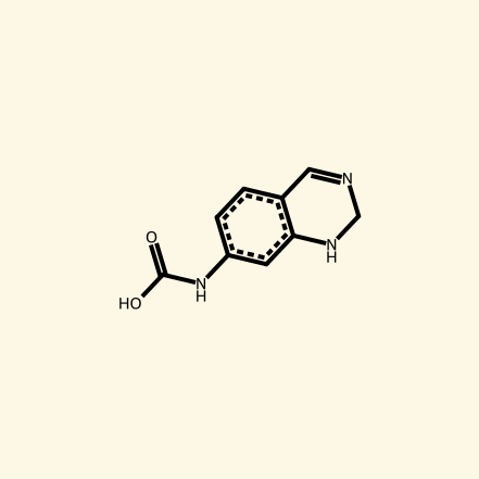 O=C(O)Nc1ccc2c(c1)NCN=C2